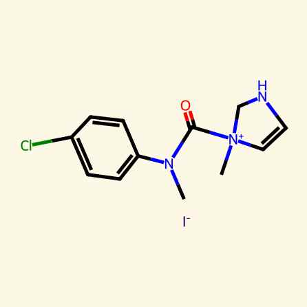 CN(C(=O)[N+]1(C)C=CNC1)c1ccc(Cl)cc1.[I-]